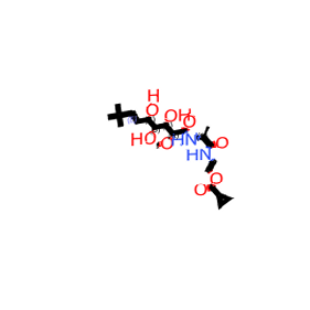 CO[C@@H](C(=O)N[C@@H](C)C(=O)NCCOC(=O)C1CC1)[C@H](O)[C@@H](O)[C@H](O)/C=C/C(C)(C)C